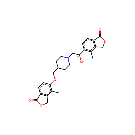 Cc1c(OCC2CCN(C[C@H](O)c3ccc4c(c3C)COC4=O)CC2)ccc2c1COC2=O